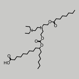 CCCCCCCC(=O)OCCN(CCOC(=O)OC(CCCCCC)CCCCCCCCC(=O)O)CCN(CC)CC